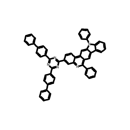 c1ccc(-c2ccc(-c3nc(-c4ccc(-c5ccccc5)cc4)nc(-c4ccc5c(c4)nc(-c4ccccc4)c4cc6c7ccccc7n(-c7ccccc7)c6cc45)n3)cc2)cc1